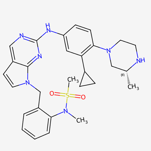 C[C@@H]1CN(c2ccc(Nc3ncc4ccn(Cc5ccccc5N(C)S(C)(=O)=O)c4n3)cc2C2CC2)CCN1